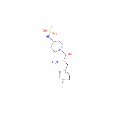 CS(=O)(=O)NC1CCN(C(=O)[C@@H](N)Cc2ccc(F)cc2)CC1